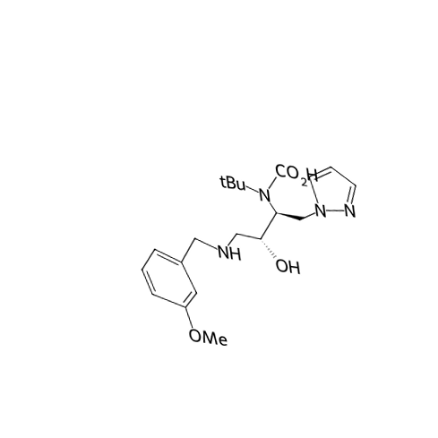 COc1cccc(CNC[C@@H](O)[C@H](Cn2cccn2)N(C(=O)O)C(C)(C)C)c1